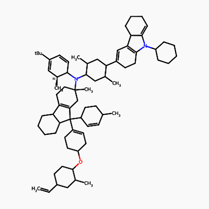 C=CC1CCC(OC2CC=C(C3(C4C=CC(C)CC4)C4=C(CCC(C)(N(C5CC(C)C(C6=CC7=C(CC6)N(C6CCCCC6)C6=CCCCC67)CC5C)C5C=CC(C(C)(C)C)=C[C@@H]5C)C4)C4CCCCC43)CC2)C(C)C1